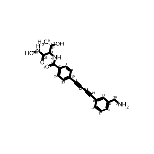 C[C@H](O)C(NC(=O)c1ccc(C#CC#Cc2cccc(CN)c2)cc1)C(=O)NO